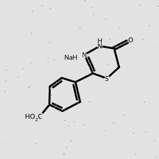 O=C1CSC(c2ccc(C(=O)O)cc2)=NN1.[NaH]